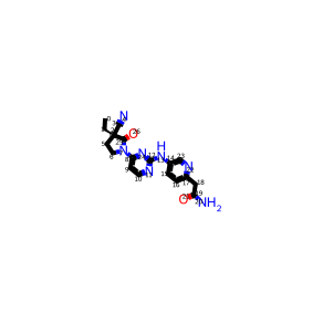 CC[C@]1(C#N)CCN(c2ccnc(Nc3ccc(CC(N)=O)nc3)n2)C1=O